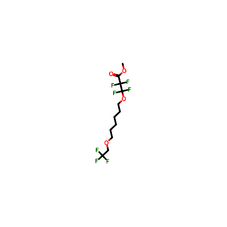 COC(=O)C(F)(F)C(F)(F)OCCCCCCOCC(F)(F)F